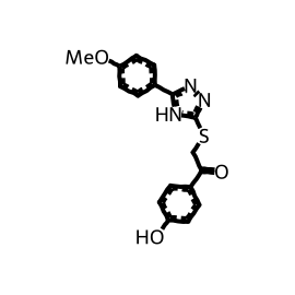 COc1ccc(-c2nnc(SCC(=O)c3ccc(O)cc3)[nH]2)cc1